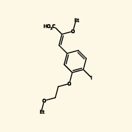 CCOCCOc1cc(C=C(OCC)C(=O)O)ccc1I